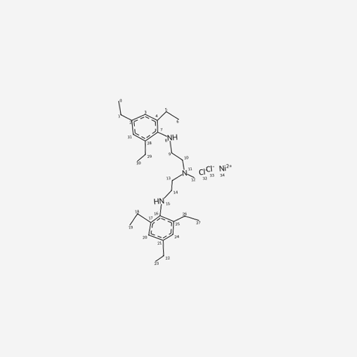 CCc1cc(CC)c(NCCN(C)CCNc2c(CC)cc(CC)cc2CC)c(CC)c1.[Cl-].[Cl-].[Ni+2]